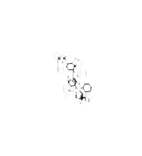 CONC(=O)c1ccc(Nc2ncc(C(F)(F)F)c(Nc3ccccc3P(=O)(OC)OC)n2)c2c1CCO2